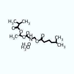 CC(C)CCCC(=O)OCNC(=O)O[C@H](C)OC(=O)C(C)C.O.O